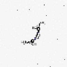 NCCOc1ccc(/C=C/C(=O)CC(=O)/C=C/c2ccc(OCCN)c(O)c2)cc1O